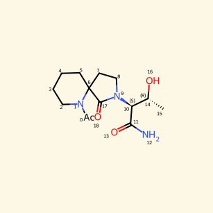 CC(=O)N1CCCCC12CCN([C@H](C(N)=O)[C@@H](C)O)C2=O